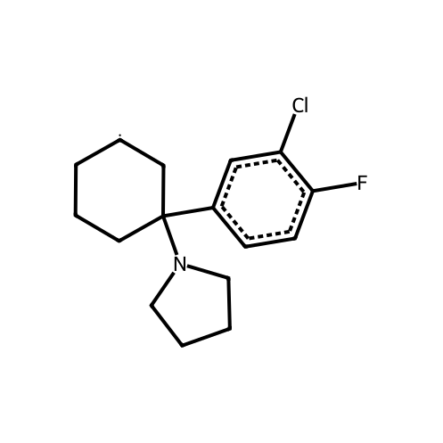 Fc1ccc(C2(N3CCCC3)C[CH]CCC2)cc1Cl